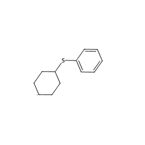 [CH]1CCC(Sc2ccccc2)CC1